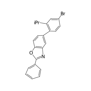 CC(C)c1cc(Br)ccc1-c1ccc2oc(-c3ccccc3)nc2c1